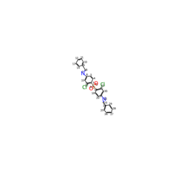 O=S(=O)(c1ccc(N=Cc2ccccc2)cc1Cl)c1ccc(N=Cc2ccccc2)cc1Cl